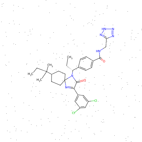 CC[C@H](c1ccc(C(=O)NCc2nn[nH]n2)cc1)N1C(=O)C(c2cc(Cl)cc(Cl)c2)=NC12CCC(C(C)(C)CC)CC2